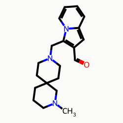 CN1CCCC2(CCN(Cc3c(C=O)cc4ccccn34)CC2)C1